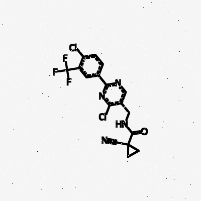 N#CC1(C(=O)NCc2cnc(-c3ccc(Cl)c(C(F)(F)F)c3)nc2Cl)CC1